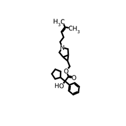 CC(C)=CCCN1CC2C(COC(=O)C(O)(c3ccccc3)C3CCCC3)C2C1